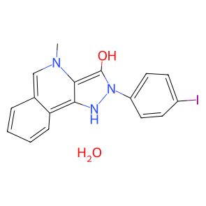 CN1C=c2ccccc2=C2NN(c3ccc(I)cc3)C(O)=C21.O